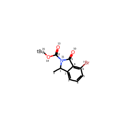 CC1c2cccc(Br)c2C(=O)N1C(=O)OC(C)(C)C